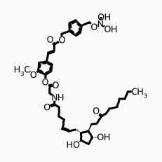 CCCCCCCC(=O)CC[C@@H]1[C@@H](C/C=C\CCCC(=O)NCC(=O)Oc2ccc(/C=C/C(=O)OCc3ccc(CON(O)O)cc3)cc2OC)[C@@H](O)C[C@H]1O